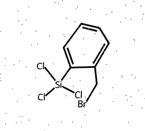 Cl[Si](Cl)(Cl)c1ccccc1CBr